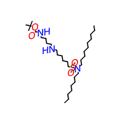 CCCCCCCCCCN(CCCCCCCC)S(=O)(=O)CCCCCCNCCCCNC(=O)OC(C)(C)C